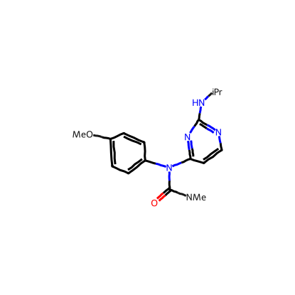 CNC(=O)N(c1ccc(OC)cc1)c1ccnc(NC(C)C)n1